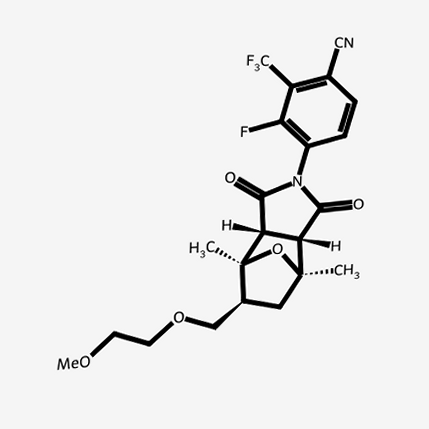 COCCOC[C@@H]1C[C@@]2(C)O[C@]1(C)[C@@H]1C(=O)N(c3ccc(C#N)c(C(F)(F)F)c3F)C(=O)[C@@H]12